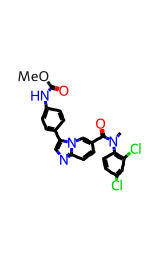 COC(=O)Nc1ccc(-c2cnc3ccc(C(=O)N(C)c4ccc(Cl)cc4Cl)cn23)cc1